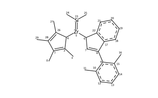 CC1=C(C)[CH]([Zr]([CH]2C=C(c3c(C)cccc3C)c3ccccc32)=[Si](C)C)C(C)=C1C